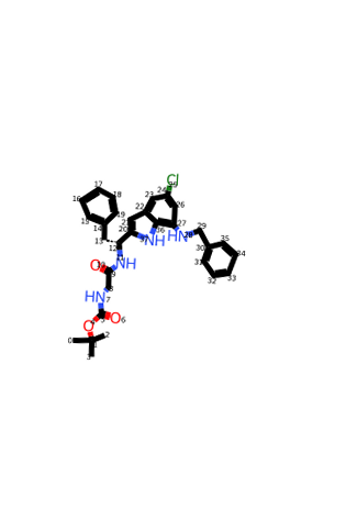 CC(C)(C)OC(=O)NCC(=O)N[C@H](Cc1ccccc1)c1cc2cc(Cl)cc(NCc3ccccc3)c2[nH]1